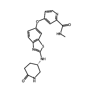 CNC(=O)c1cc(Oc2ccc3nc(N[C@H]4CCC(=O)NC4)sc3c2)ccn1